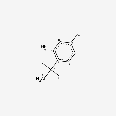 Cc1ccc([C](C)(C)[AlH2])cc1.F